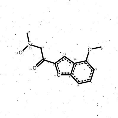 COc1cccc2oc(C(=O)C[S+](C)[O-])cc12